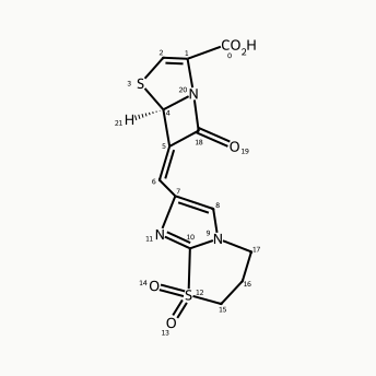 O=C(O)C1=CS[C@@H]2C(=Cc3cn4c(n3)S(=O)(=O)CCC4)C(=O)N12